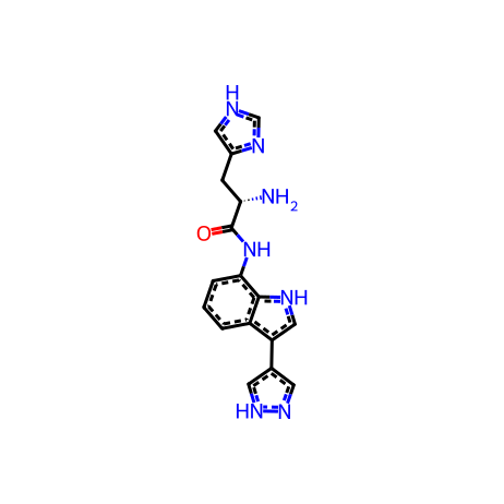 N[C@@H](Cc1c[nH]cn1)C(=O)Nc1cccc2c(-c3cn[nH]c3)c[nH]c12